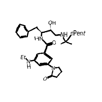 CCCCCC(C)(C)NC[C@@H](O)[C@H](Cc1ccccc1)NC(=O)c1cc(NCC)cc(N2CCCC2=O)c1